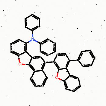 c1ccc(-c2ccc(-c3cc4c(oc5cccc(N(c6ccccc6)c6ccccc6)c54)c4ccccc34)c3oc4ccccc4c23)cc1